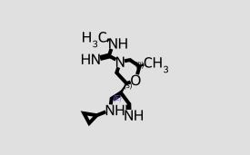 CNC(=N)N1C[C@@H](C)O[C@@H](/C(C=N)=C/NC2CC2)C1